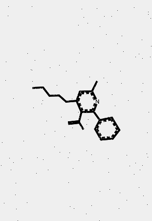 C=C(C)c1c(CCCCC)cc(C)nc1-c1ccccc1